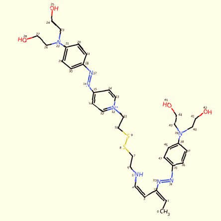 C/C=C(\C=C/NCCSSCC[n+]1ccc(/N=N/c2ccc(N(CCO)CCO)cc2)cc1)/N=N/c1ccc(N(CCO)CCO)cc1